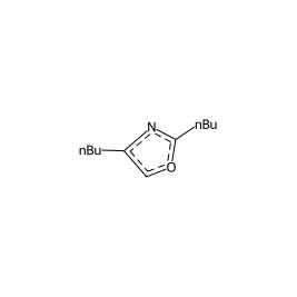 [CH2]CCCc1nc(CCCC)co1